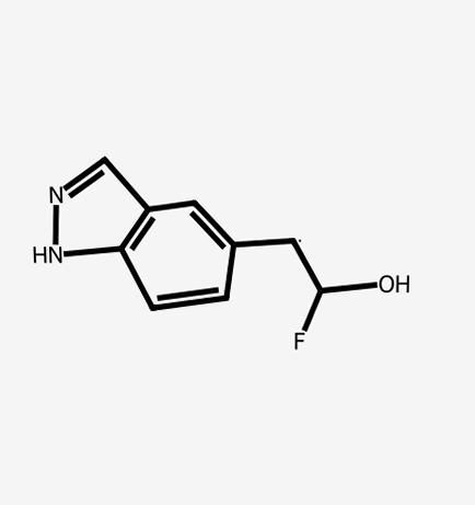 OC(F)[CH]c1ccc2[nH]ncc2c1